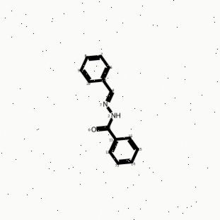 O=C(NN=Cc1ccccc1)c1ccccc1